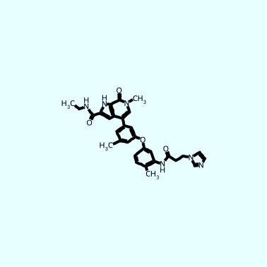 CCNC(=O)c1cc2c(-c3cc(C)cc(Oc4ccc(C)c(NC(=O)CCn5ccnc5)c4)c3)cn(C)c(=O)c2[nH]1